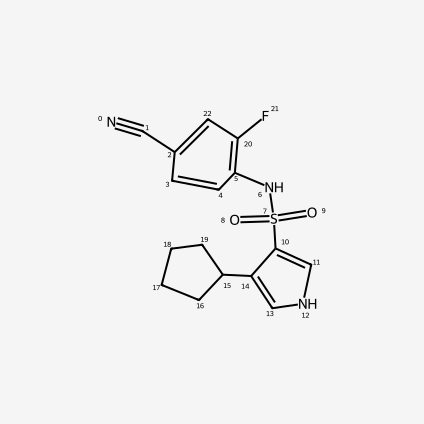 N#Cc1ccc(NS(=O)(=O)c2c[nH]cc2C2CCCC2)c(F)c1